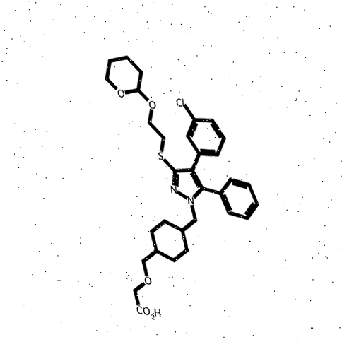 O=C(O)COCC1CCC(Cn2nc(SCCOC3CCCCO3)c(-c3cccc(Cl)c3)c2-c2ccccc2)CC1